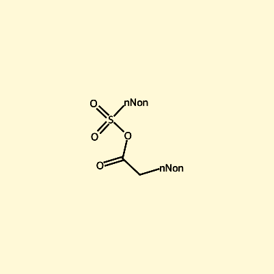 CCCCCCCCCCC(=O)OS(=O)(=O)CCCCCCCCC